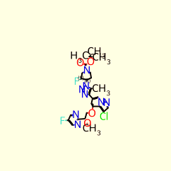 COC(COc1cc(-c2nnn([C@@H]3CCN(C(=O)OC(C)(C)C)C[C@@H]3F)c2C)cn2ncc(Cl)c12)c1ncc(F)cn1